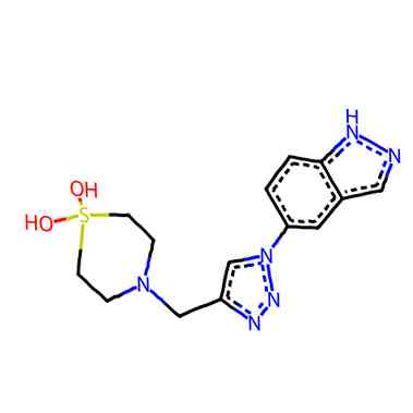 OS1(O)CCN(Cc2cn(-c3ccc4[nH]ncc4c3)nn2)CC1